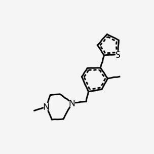 Cc1cc(CN2CCN(C)CC2)ccc1-c1cccs1